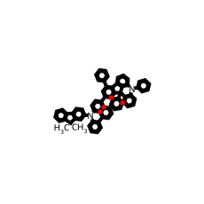 CC1(C)c2ccccc2-c2ccc(N(c3ccc(-c4cc(-c5ccccc5)c5c(c4)C4(c6ccccc6)c6ccccc6N(c6ccccc6)c6cccc-5c64)cc3)c3ccccc3-c3ccccc3)cc21